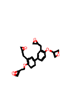 c1cc(OCC2CO2)c(CC2CO2)cc1-c1ccc(OC2COC2)c(CC2CO2)c1